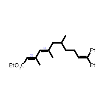 CCOC(=O)/C=C(C)/C=C(\C)CC(C)CCC=C(CC)CC